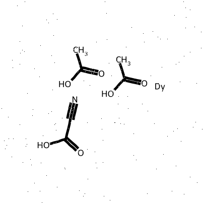 CC(=O)O.CC(=O)O.N#CC(=O)O.[Dy]